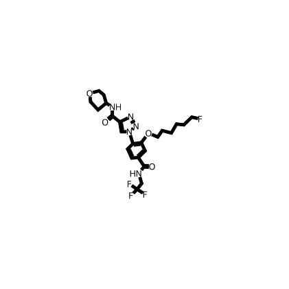 O=C(NCC(F)(F)F)c1ccc(-n2cc(C(=O)NC3CCOCC3)nn2)c(OCCCCCCF)c1